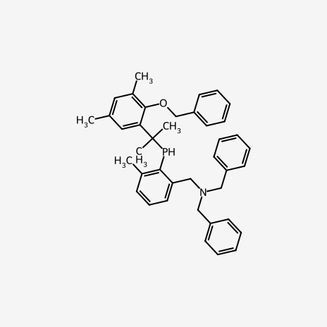 Cc1cc(C)c(OCc2ccccc2)c(C(C)(C)Pc2c(C)cccc2CN(Cc2ccccc2)Cc2ccccc2)c1